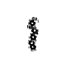 Cc1ccc(Nc2cc(N3CCC(N4CCc5ccccc5C4)CC3)ncn2)cc1